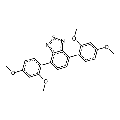 COc1ccc(-c2ccc(-c3ccc(OC)cc3OC)c3nsnc23)c(OC)c1